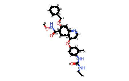 CCNC(=O)Nc1ccc(Oc2ccnc3cc(OCc4ccccc4)c(C(=O)NOC)cc23)cc1C